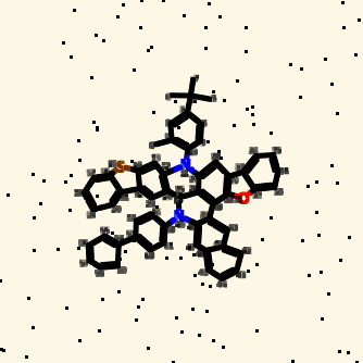 Cc1cc(C(C)(C)C)ccc1N1c2cc3sc4ccccc4c3cc2B2c3c1cc1c(oc4ccccc41)c3-c1cc3ccccc3cc1N2c1ccc(-c2ccccc2)cc1